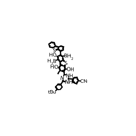 Bc1c(-c2cccc3c2sc2ccccc23)c(O)c(B)c2c1sc1c(O)c(C3N=C(C4=CC=C(C(C)(C)C)CC4)NC(c4ccc(C#N)cc4)N3)c(C)c(O)c12